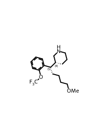 COCCCC[C@H](c1ccccc1OC(F)(F)F)[C@H]1CCCNC1